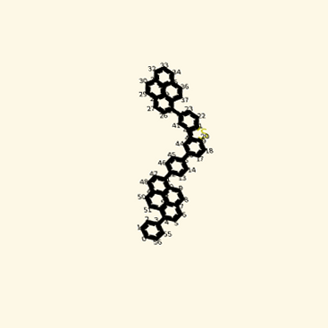 c1ccc(-c2ccc3ccc4c(-c5ccc(-c6ccc7sc8ccc(-c9ccc%10ccc%11cccc%12ccc9c%10c%11%12)cc8c7c6)cc5)ccc5ccc2c3c54)cc1